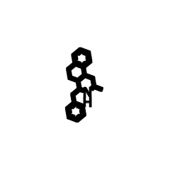 CC1CC2c3ccccc3CCC2C(Cc2ccccc2)N1